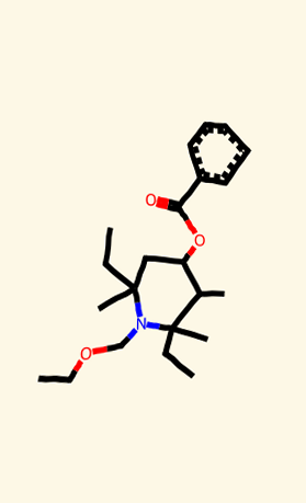 CCOCN1C(C)(CC)CC(OC(=O)c2ccccc2)C(C)C1(C)CC